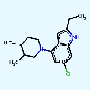 CCc1cc2c(N3CCC(C)C(C)C3)cc(Cl)cc2[nH]1